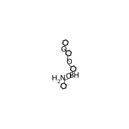 NC(COBc1cccc(COCc2cccc(Oc3ccccc3)c2)c1)c1ccccc1